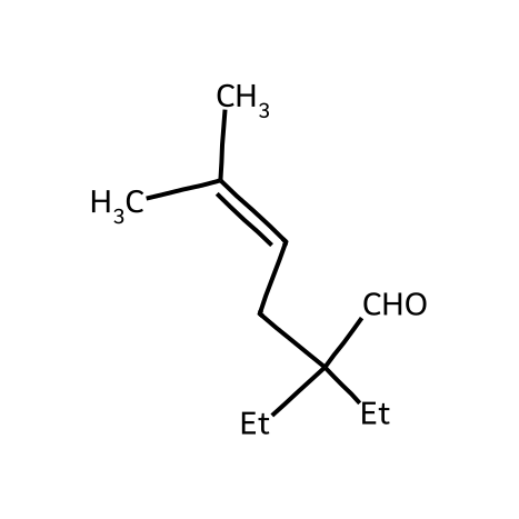 CCC(C=O)(CC)CC=C(C)C